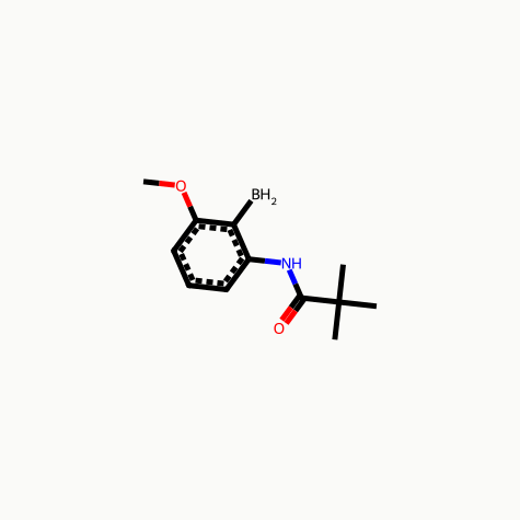 Bc1c(NC(=O)C(C)(C)C)cccc1OC